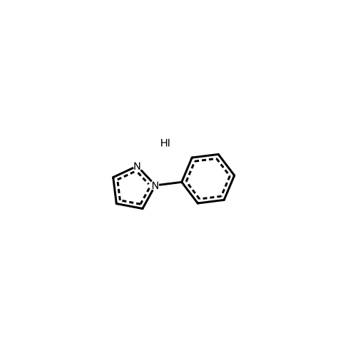 I.c1ccc(-n2cccn2)cc1